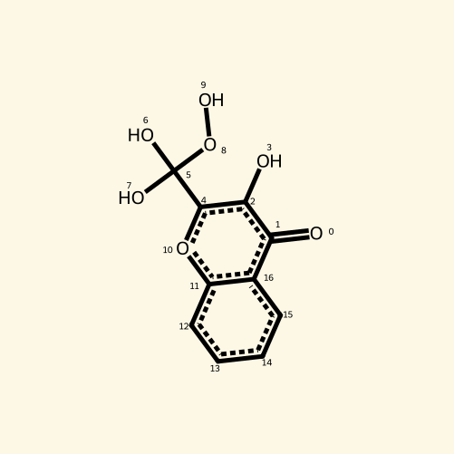 O=c1c(O)c(C(O)(O)OO)oc2ccccc12